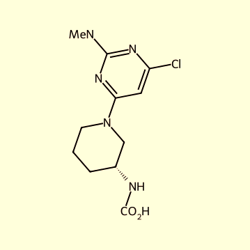 CNc1nc(Cl)cc(N2CCC[C@@H](NC(=O)O)C2)n1